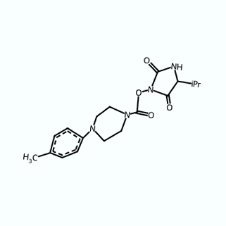 Cc1ccc(N2CCN(C(=O)ON3C(=O)NC(C(C)C)C3=O)CC2)cc1